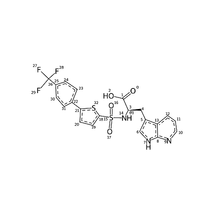 O=C(O)[C@@H](Cc1c[nH]c2ncccc12)NS(=O)(=O)c1ccc(-c2ccc(C(F)(F)F)cc2)s1